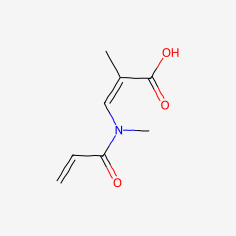 C=CC(=O)N(C)C=C(C)C(=O)O